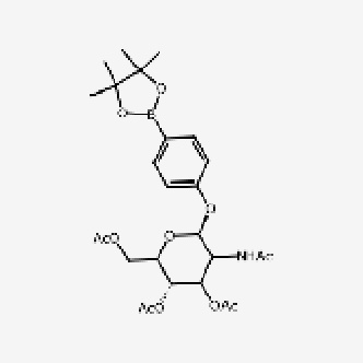 CC(=O)NC1C(OC(C)=O)[C@H](OC(C)=O)C(COC(C)=O)O[C@H]1Oc1ccc(B2OC(C)(C)C(C)(C)O2)cc1